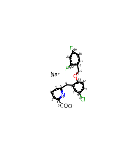 O=C([O-])c1cccc(Cc2cc(Cl)ccc2OCc2ccc(F)cc2F)n1.[Na+]